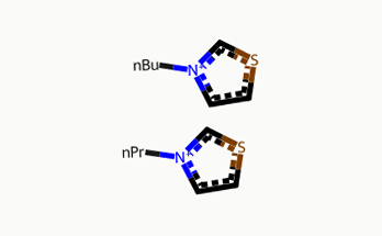 CCCC[n+]1ccsc1.CCC[n+]1ccsc1